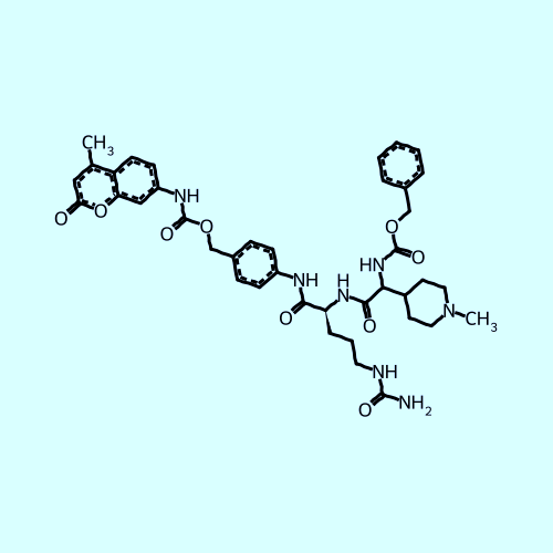 Cc1cc(=O)oc2cc(NC(=O)OCc3ccc(NC(=O)[C@H](CCCNC(N)=O)NC(=O)C(NC(=O)OCc4ccccc4)C4CCN(C)CC4)cc3)ccc12